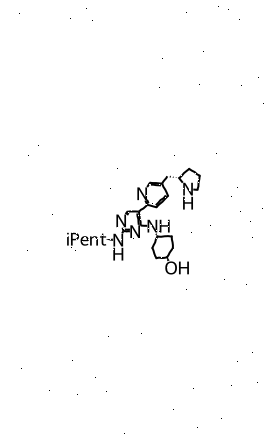 CCC[C@H](C)Nc1ncc(-c2ccc(C[C@@H]3CCCN3)cn2)c(N[C@H]2CC[C@H](O)CC2)n1